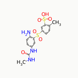 CNC(=O)Nc1ccc(N)c(S(=O)(=O)c2ccc(C)c(S(=O)(=O)O)c2)c1